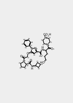 O=C(NC(CCCO)C(=O)N1CCN(C(=O)O)CC1)c1cc(OCC(=O)N2CCCC2C(=O)NC2CCC2)n(-c2ccccc2)n1